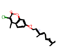 CC(C)=CCC/C(C)=C/COc1ccc2c(C)c(Cl)c(=O)oc2c1